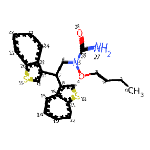 CCCCON(CC(c1csc2ccccc12)c1csc2ccccc12)C(N)=O